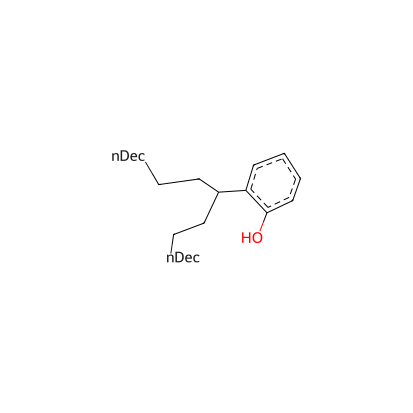 CCCCCCCCCCCCC(CCCCCCCCCCCC)c1ccccc1O